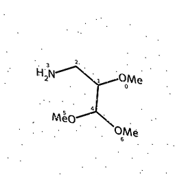 COC(CN)C(OC)OC